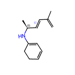 C=C(C)/C=C/[C@H](C)NC1=CC=CCC1